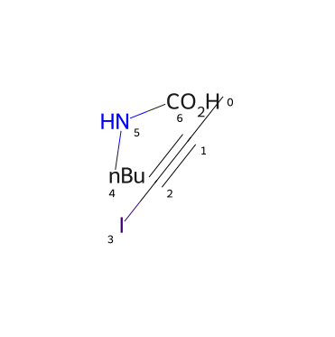 CC#CI.CCCCNC(=O)O